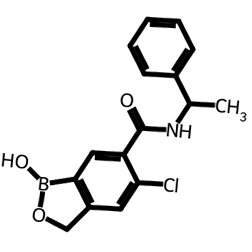 CC(NC(=O)c1cc2c(cc1Cl)COB2O)c1ccccc1